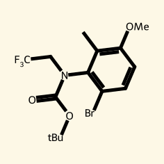 COc1ccc(Br)c(N(CC(F)(F)F)C(=O)OC(C)(C)C)c1C